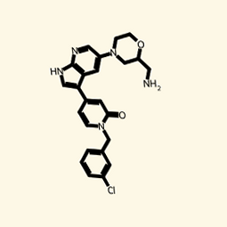 NCC1CN(c2cnc3[nH]cc(-c4ccn(Cc5cccc(Cl)c5)c(=O)c4)c3c2)CCO1